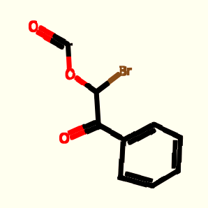 O=[C]OC(Br)C(=O)c1ccccc1